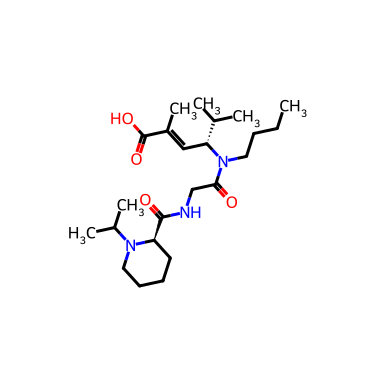 CCCCN(C(=O)CNC(=O)[C@H]1CCCCN1C(C)C)[C@H](/C=C(\C)C(=O)O)C(C)C